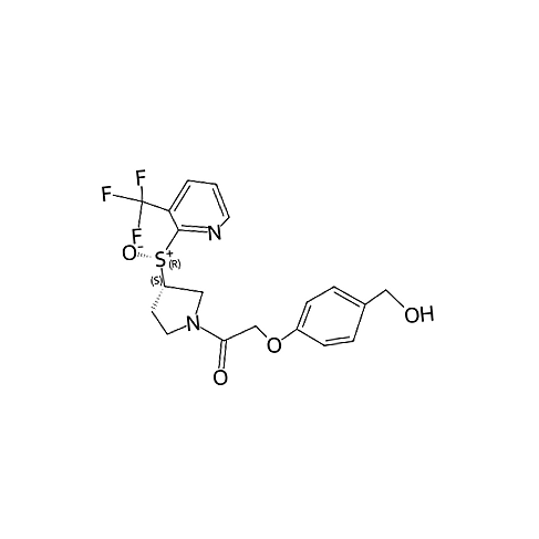 O=C(COc1ccc(CO)cc1)N1CC[C@H]([S@+]([O-])c2ncccc2C(F)(F)F)C1